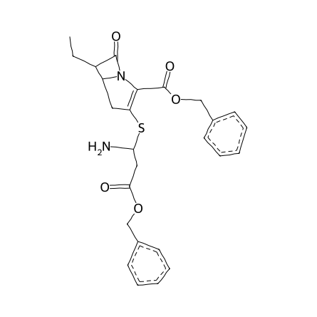 CCC1C(=O)N2C(C(=O)OCc3ccccc3)=C(SC(N)CC(=O)OCc3ccccc3)CC12